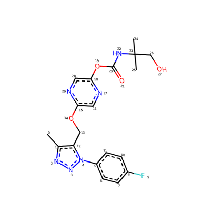 Cc1nnn(-c2ccc(F)cc2)c1COc1cnc(OC(=O)NC(C)(C)CO)cn1